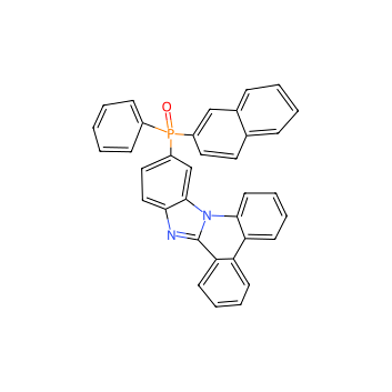 O=P(c1ccccc1)(c1ccc2ccccc2c1)c1ccc2nc3c4ccccc4c4ccccc4n3c2c1